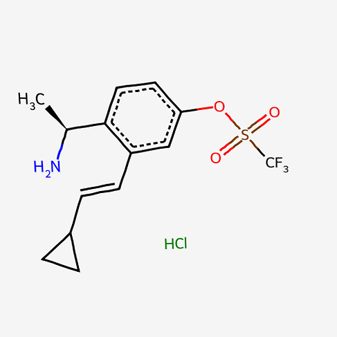 C[C@H](N)c1ccc(OS(=O)(=O)C(F)(F)F)cc1/C=C/C1CC1.Cl